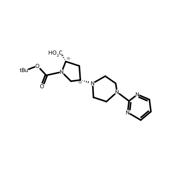 CC(C)(C)OC(=O)N1C[C@@H](N2CCN(c3ncccn3)CC2)C[C@H]1C(=O)O